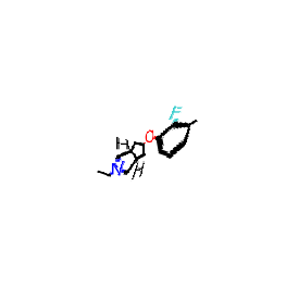 CCN1C[C@H]2C[C@H](Oc3cccc(C)c3F)C[C@H]2C1